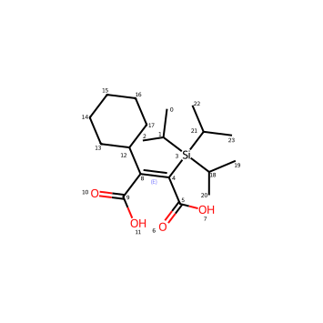 CC(C)[Si](/C(C(=O)O)=C(/C(=O)O)C1CCCCC1)(C(C)C)C(C)C